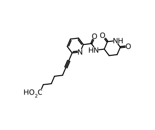 O=C(O)CCCCC#Cc1cccc(C(=O)NC2CCC(=O)NC2=O)n1